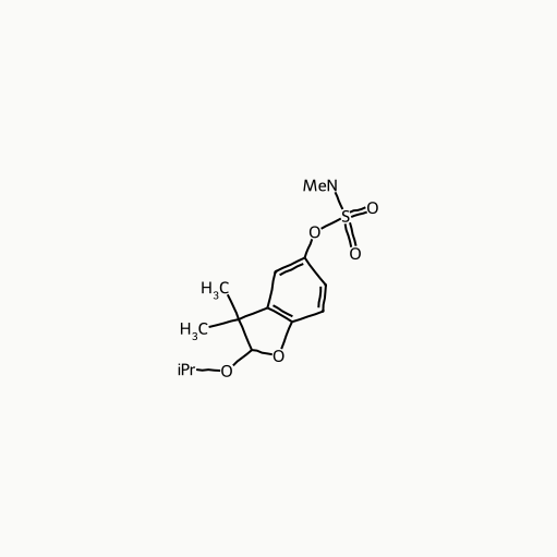 CNS(=O)(=O)Oc1ccc2c(c1)C(C)(C)C(OC(C)C)O2